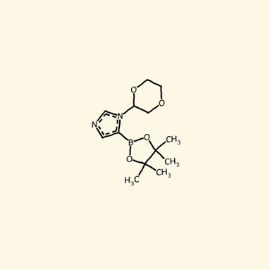 CC1(C)OB(c2cncn2C2COCCO2)OC1(C)C